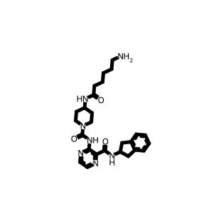 NCCCCCC(=O)NC1CCN(C(=O)Nc2nccnc2C(=O)NC2Cc3ccccc3C2)CC1